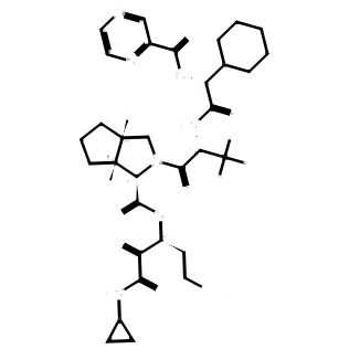 CCC[C@H](NC(=O)[C@H]1[C@@H]2CCC[C@@H]2CN1C(=O)[C@H](NC(=O)[C@H](NC(=O)c1cnccn1)C1CCCCC1)C(C)(C)C)C(=O)C(=O)NC1CC1